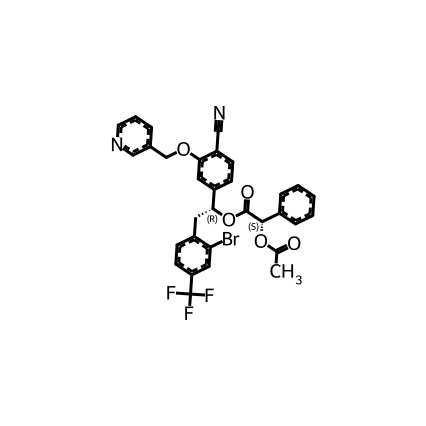 CC(=O)O[C@H](C(=O)O[C@H](Cc1ccc(C(F)(F)F)cc1Br)c1ccc(C#N)c(OCc2cccnc2)c1)c1ccccc1